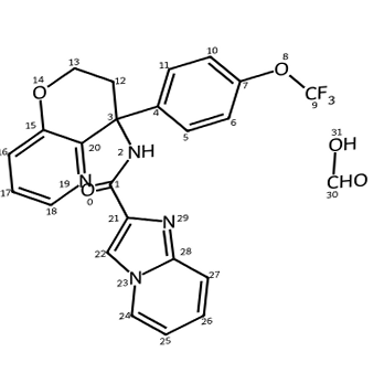 O=C(NC1(c2ccc(OC(F)(F)F)cc2)CCOc2cccnc21)c1cn2ccccc2n1.O=CO